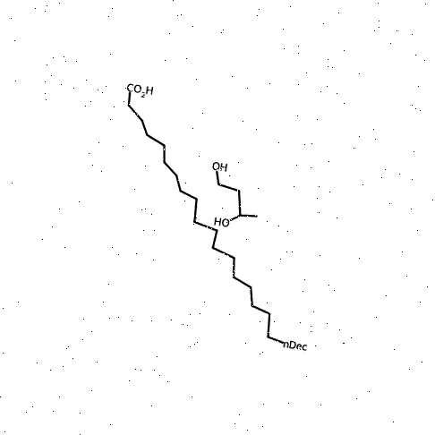 CC(O)CCO.CCCCCCCCCCCCCCCCCCCCCCCCCCCC(=O)O